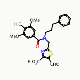 CCOC(=O)c1nc(CN(CCCc2ccccc2)C(=O)c2cc(OC)c(C)c(OC)c2)sc1C=O